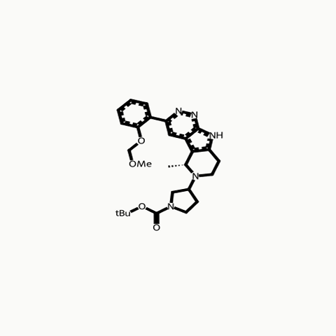 COCOc1ccccc1-c1cc2c3c([nH]c2nn1)CCN(C1CCN(C(=O)OC(C)(C)C)C1)[C@@H]3C